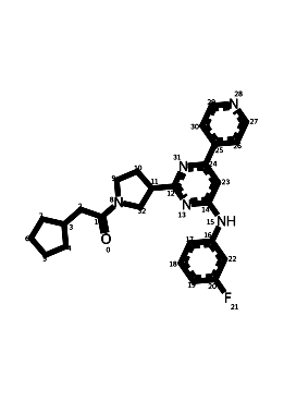 O=C(CC1CCCC1)N1CCC(c2nc(Nc3cccc(F)c3)cc(-c3ccncc3)n2)C1